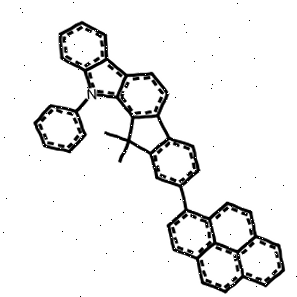 CC1(C)c2cc(-c3ccc4ccc5cccc6ccc3c4c56)ccc2-c2ccc3c4ccccc4n(-c4ccccc4)c3c21